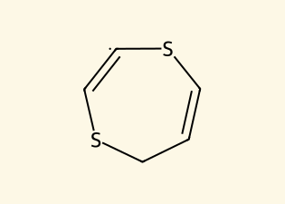 [C]1=CSCC=CS1